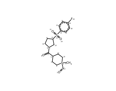 CS1(N=O)CCC(C(=O)N2CCC(S(=O)(=O)c3ccc(F)cc3)C2)CC1